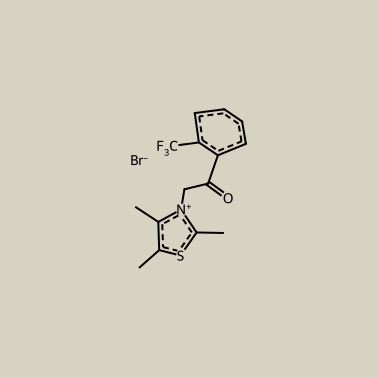 Cc1sc(C)[n+](CC(=O)c2ccccc2C(F)(F)F)c1C.[Br-]